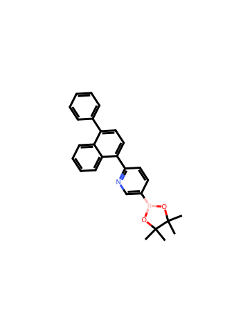 CC1(C)OB(c2ccc(-c3ccc(-c4ccccc4)c4ccccc34)nc2)OC1(C)C